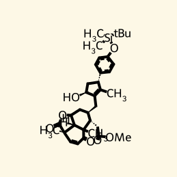 COC(=O)C[C@H]1[C@H](CC2=C(C)[C@@H](c3ccc(O[Si](C)(C)C(C)(C)C)cc3)C[C@@H]2O)C[C@@H]2OC(=O)[C@]3(C)C=CC(=O)C1(C)[C@@H]23